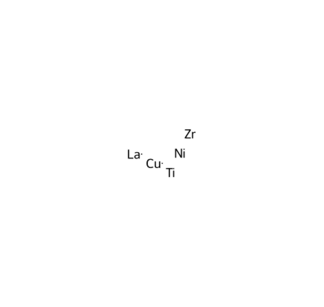 [Cu].[La].[Ni].[Ti].[Zr]